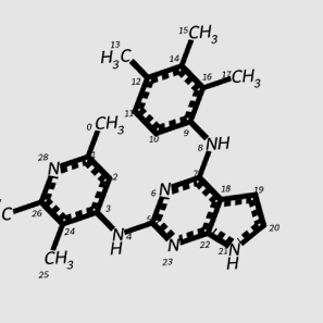 Cc1cc(Nc2nc(Nc3ccc(C)c(C)c3C)c3cc[nH]c3n2)c(C)c(C)n1